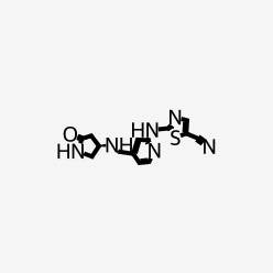 N#Cc1cnc(Nc2cc(CN[C@H]3CNC(=O)C3)ccn2)s1